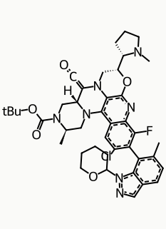 Cc1ccc2cnn(C3CCCCO3)c2c1-c1c(Cl)cc2c3c4c(nc2c1F)O[C@@H]([C@@H]1CCCN1C)CN4C(=C=O)[C@H]1CN(C(=O)OC(C)(C)C)[C@H](C)CN31